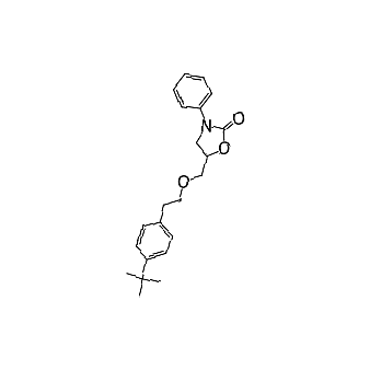 CC(C)(C)c1ccc(CCOCC2CN(c3ccccc3)C(=O)O2)cc1